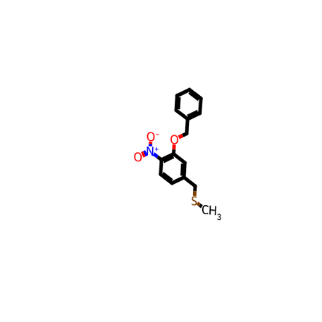 CSCc1ccc([N+](=O)[O-])c(OCc2ccccc2)c1